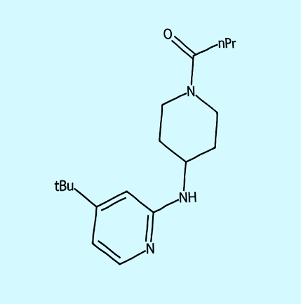 CCCC(=O)N1CCC(Nc2cc(C(C)(C)C)ccn2)CC1